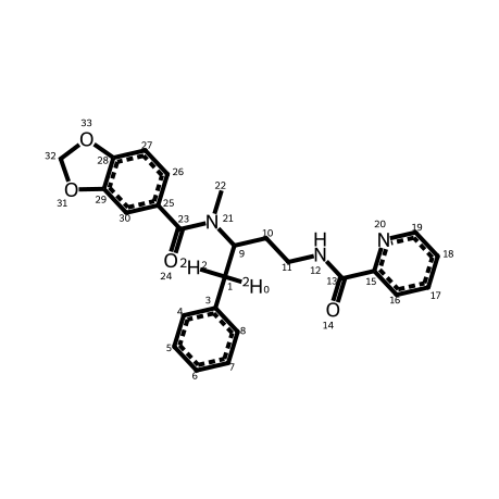 [2H]C([2H])(c1ccccc1)C(CCNC(=O)c1ccccn1)N(C)C(=O)c1ccc2c(c1)OCO2